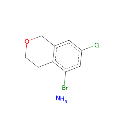 Clc1cc(Br)c2c(c1)COCC2.N